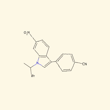 CC(C)C(C)n1cc(-c2ccc(C#N)cc2)c2ccc([N+](=O)[O-])cc21